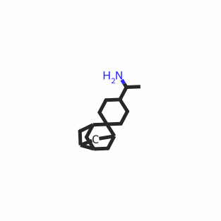 CC(N)C1CCC2(CC1)C1CC3CC2CC3C1